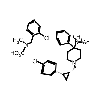 CC(=O)N(C)C1(c2ccccc2)CCN(C[C@@H]2C[C@@H]2c2ccc(Cl)cc2)CC1.CN(Cc1ccccc1Cl)C(=O)O